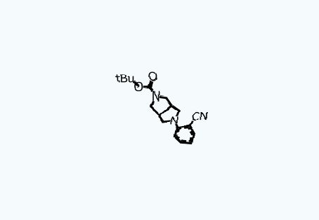 CC(C)(C)OC(=O)N1CC2CN(c3ccccc3C#N)CC2C1